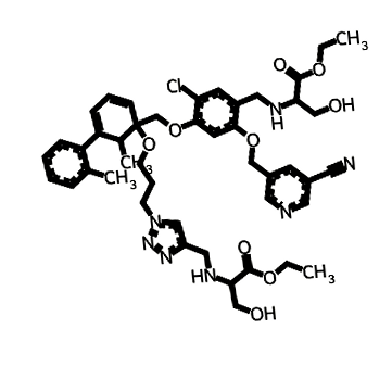 CCOC(=O)C(CO)NCc1cn(CCCOC2(COc3cc(OCc4cncc(C#N)c4)c(CNC(CO)C(=O)OCC)cc3Cl)C=CC=C(c3ccccc3C)C2C)nn1